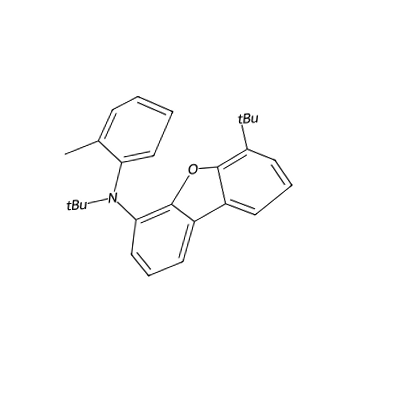 Cc1ccccc1N(c1cccc2c1oc1c(C(C)(C)C)cccc12)C(C)(C)C